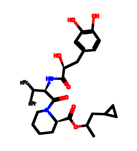 CCCC(CCC)[C@H](NC(=O)[C@H](O)Cc1ccc(O)c(O)c1)C(=O)N1CCCC[C@H]1C(=O)OC(C)CC1CC1